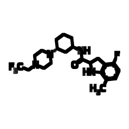 Cc1ccc(F)c2c1NC(C(=O)N[C@@H]1CCC[C@@H](N3CCN(CC(F)(F)F)CC3)C1)C2